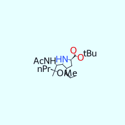 C/C=C\[C@@H]1C[C@H](C(=O)OC(C)(C)C)N[C@H]1[C@@H](NC(C)=O)[C@](C)(CCC)OC